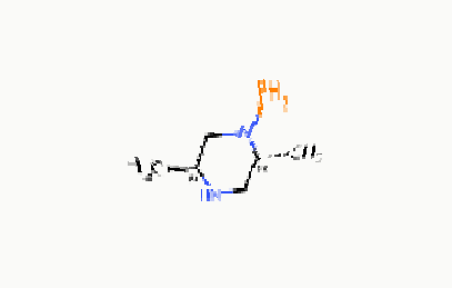 C[C@@H]1CN[C@@H](C)CN1P